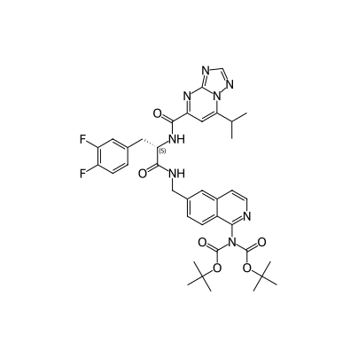 CC(C)c1cc(C(=O)N[C@@H](Cc2ccc(F)c(F)c2)C(=O)NCc2ccc3c(N(C(=O)OC(C)(C)C)C(=O)OC(C)(C)C)nccc3c2)nc2ncnn12